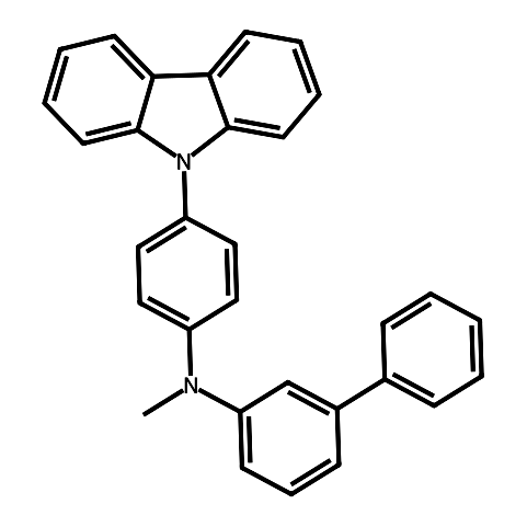 CN(c1ccc(-n2c3ccccc3c3ccccc32)cc1)c1cccc(-c2ccccc2)c1